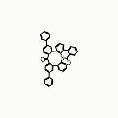 O=c1c2ccc(-c3ccccc3)cc2c2ccccc2n2c(=O)c3ccccc3c3cccc(c4cc(-c5ccccc5)ccc14)c32